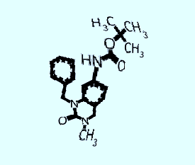 CN1Cc2ccc(NC(=O)OC(C)(C)C)cc2N(Cc2ccccc2)C1=O